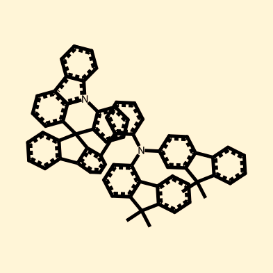 CC1(C)c2ccccc2-c2ccc(N(c3ccccc3-c3cccc4c3C3(c5ccccc5-4)c4ccccc4-n4c5ccccc5c5cccc3c54)c3cccc4c3-c3ccccc3C4(C)C)cc21